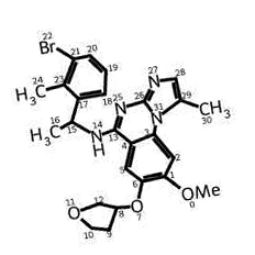 COc1cc2c(cc1OC1CCOC1)c(NC(C)c1cccc(Br)c1C)nc1ncc(C)n12